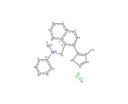 CC1=C(c2ccc3ccccc3c2C[N]([Ti+2])c2ccccc2)CC=C1.[Cl-].[Cl-]